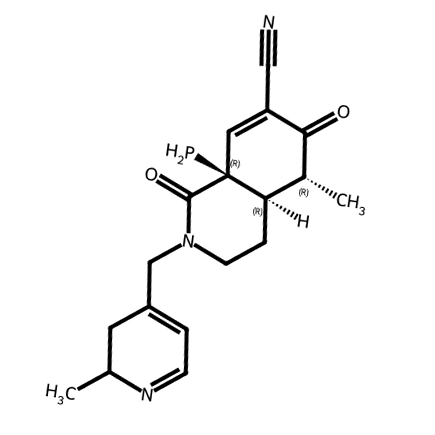 CC1CC(CN2CC[C@@H]3[C@@H](C)C(=O)C(C#N)=C[C@@]3(P)C2=O)=CC=N1